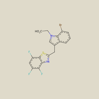 O=C(O)Cn1cc(Cc2nc3c(F)c(F)cc(F)c3s2)c2cccc(Br)c21